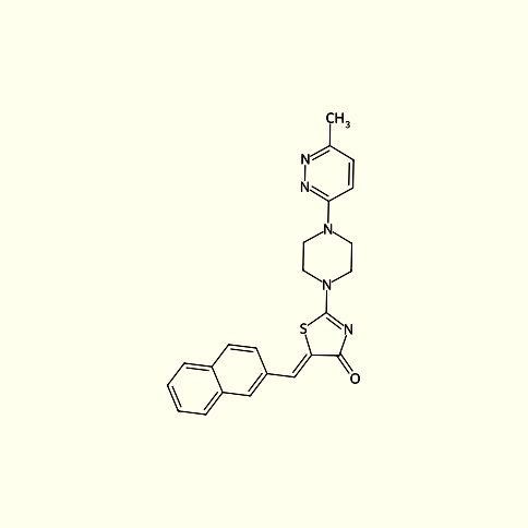 Cc1ccc(N2CCN(C3=NC(=O)/C(=C/c4ccc5ccccc5c4)S3)CC2)nn1